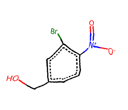 O=[N+]([O-])c1ccc(CO)cc1Br